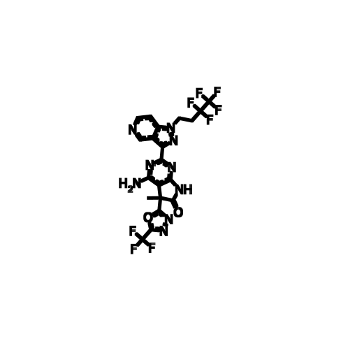 CC1(c2nnc(C(F)(F)F)o2)C(=O)Nc2nc(-c3nn(CCC(F)(F)C(F)(F)F)c4ccncc34)nc(N)c21